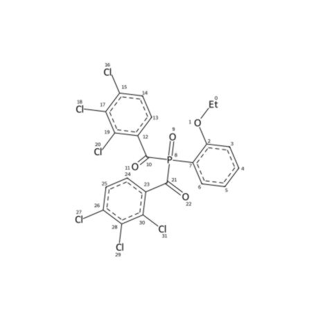 CCOc1ccccc1P(=O)(C(=O)c1ccc(Cl)c(Cl)c1Cl)C(=O)c1ccc(Cl)c(Cl)c1Cl